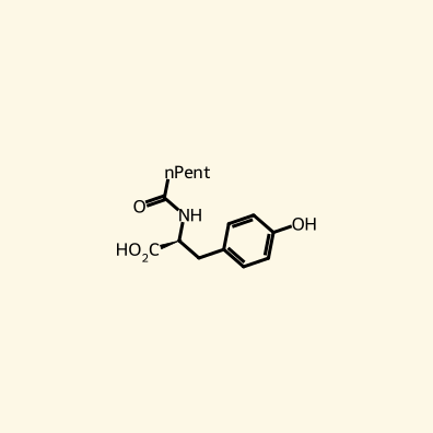 CCCCCC(=O)N[C@@H](Cc1ccc(O)cc1)C(=O)O